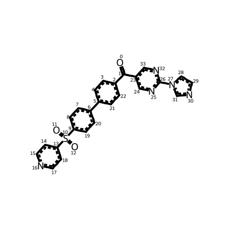 O=C(c1ccc(-c2ccc(S(=O)(=O)c3ccncc3)cc2)cc1)c1cnc(-n2ccnc2)nc1